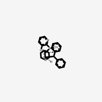 CN(c1ncccc1O)[C@@H]1C2CCN(CC2)[C@@H]1C(c1ccccc1)c1ccccc1